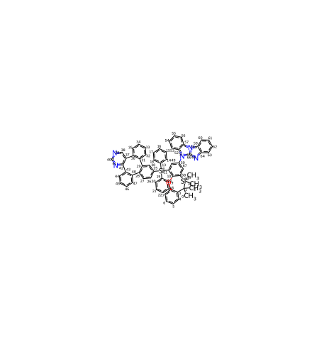 CC1(C)c2ccccc2Oc2c([Si](c3ccccc3)(c3ccccc3)c3ccc4c(c3)-c3ccccc3-c3cncnc3-c3ccccc3-4)cc(-n3c4ccccc4n4c5ccccc5nc34)cc2[Si]1(C)C